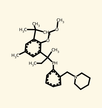 CCC(C)(Pc1ccccc1CN1CCCCC1)c1cc(C)cc(C(C)(C)C)c1OCOC